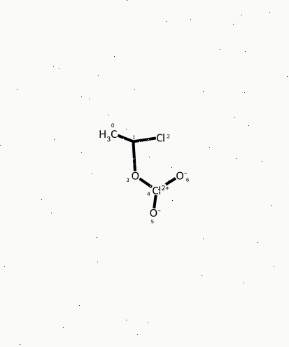 CC(Cl)O[Cl+2]([O-])[O-]